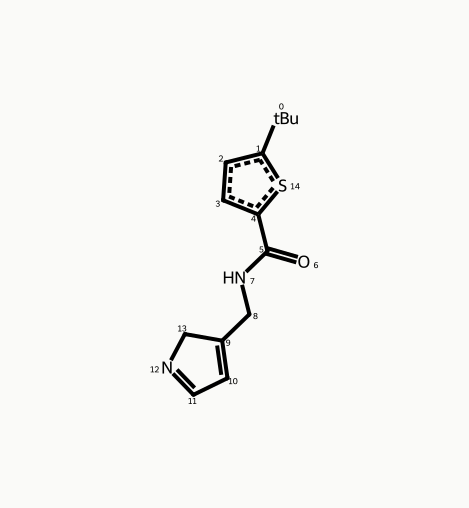 CC(C)(C)c1ccc(C(=O)NCC2=CC=NC2)s1